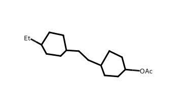 CCC1CCC(CCC2CCC(OC(C)=O)CC2)CC1